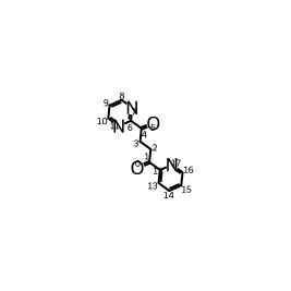 O=C(CCC(=O)c1ncccn1)c1ccccn1